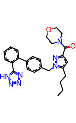 CCCCc1cc(C(=O)N2CCOCC2)nn1Cc1ccc(-c2ccccc2-c2nnn[nH]2)cc1